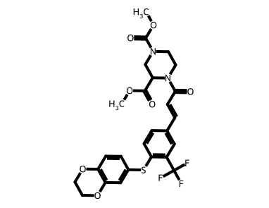 COC(=O)C1CN(C(=O)OC)CCN1C(=O)/C=C/c1ccc(Sc2ccc3c(c2)OCCO3)c(C(F)(F)F)c1